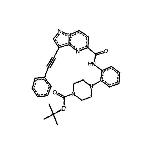 CC(C)(C)OC(=O)N1CCN(c2ccccc2NC(=O)c2ccn3ncc(C#Cc4ccccc4)c3n2)CC1